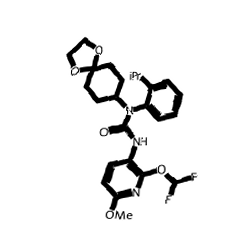 COc1ccc(NC(=O)N(c2ccccc2C(C)C)C2CCC3(CC2)OCCO3)c(OC(F)F)n1